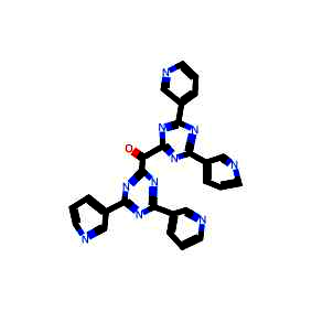 O=C(c1nc(-c2cccnc2)nc(-c2cccnc2)n1)c1nc(-c2cccnc2)nc(-c2cccnc2)n1